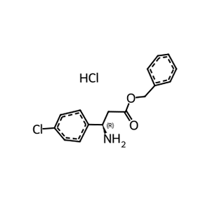 Cl.N[C@H](CC(=O)OCc1ccccc1)c1ccc(Cl)cc1